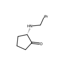 CC(C)CN[C@H]1CCCC1=O